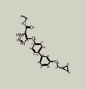 CCOC(=O)c1[nH]nnc1Oc1ccc(-c2cccc(OCC3CC3)c2)cc1